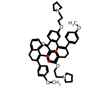 COc1ccc(C2=C(c3cc(OCCN4CCCC4)ccc3C(=O)c3ccc(OCCN4CCCC4)cc3C3=C(c4ccc(OC)cc4)CCc4ccccc43)c3ccccc3CC2)cc1